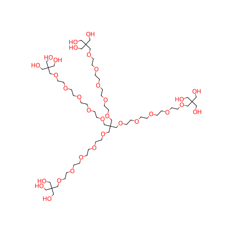 OCC(CO)(CO)COCCOCCOCCOCCOCC(COCCOCCOCCOCCOCC(CO)(CO)CO)(COCCOCCOCCOCCOCC(CO)(CO)CO)COCCOCCOCCOCCOCC(CO)(CO)CO